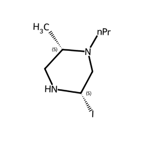 CCCN1C[C@H](I)NC[C@@H]1C